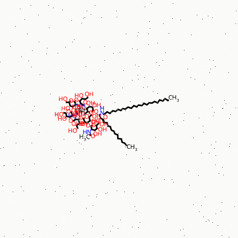 CCCCCCCCCCCCC/C=C/[C@@H](O)[C@H](CO[C@@H]1OC(CO)[C@@H](O[C@@H]2OC(CO)[C@H](O)[C@H](O[C@@H]3OC(CO)[C@@H](O)[C@H](O[C@@H]4OC(CO)[C@H](O)[C@H](O[C@@H]5OC(CO)[C@@H](O)[C@H](O[C@@H]6OC(CO)[C@H](O)[C@H](O[C@H]7OC(CO)[C@H](O)[C@H](O)C7NC(C)=O)C6O)C5NC(C)=O)C4O)C3NC(C)=O)C2O)[C@H](O)C1O)NC(=O)CCCCCCCCCCCCCCCCCCCCCCCCC